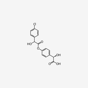 O=C(Oc1ccc([C@@H](O)C(=O)O)cc1)C(O)c1ccc(Cl)cc1